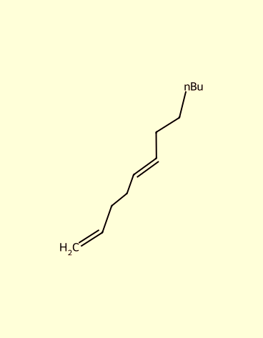 C=CCCC=CCCCCCC